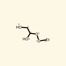 CCOOC(O)CO